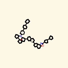 C1=C(c2ccc(-c3ccccc3)cc2)CCC(N(c2cccc(-c3ccc4ccc(-c5ccc6ccc7oc(-c8ccc(-c9ccccc9)cc8)nc7c6c5)cc4c3)c2)c2ccccc2-c2ccccc2)=C1